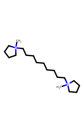 C[N+]1(CCCCCCCCC[N+]2(C)CCCC2)CCCC1